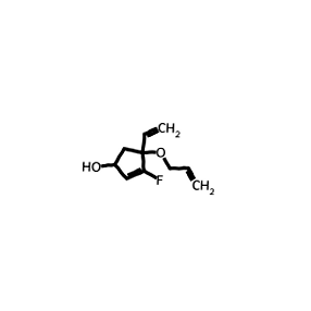 C=CCOC1(C=C)CC(O)C=C1F